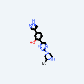 CCC1CN(c2ncc(-c3ccc(-c4cn[nH]c4)cc3O)nn2)CCN1